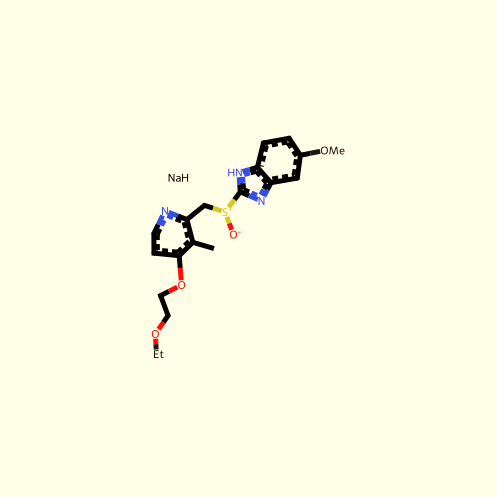 CCOCCOc1ccnc(C[S+]([O-])c2nc3cc(OC)ccc3[nH]2)c1C.[NaH]